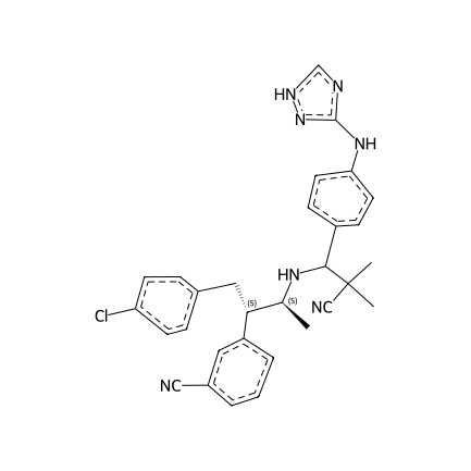 C[C@H](NC(c1ccc(Nc2nc[nH]n2)cc1)C(C)(C)C#N)[C@@H](Cc1ccc(Cl)cc1)c1cccc(C#N)c1